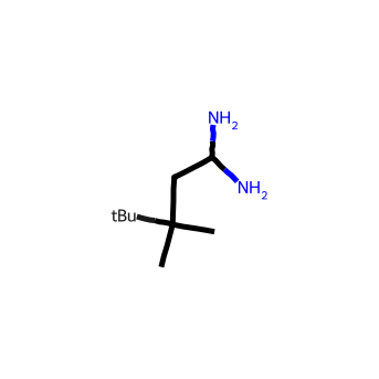 CC(C)(C)C(C)(C)CC(N)N